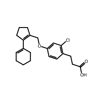 O=C(O)CCc1ccc(OCC2=C(C3=CCCCC3)CCC2)cc1Cl